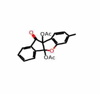 CC(=O)OC12Oc3cc(C)ccc3C1(OC(C)=O)C(=O)c1ccccc12